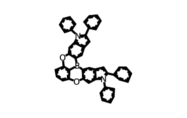 c1ccc(-c2cc3cc4c(cc3n2-c2ccccc2)Oc2cccc3c2B4c2cc4cc(-c5ccccc5)n(-c5ccccc5)c4cc2O3)cc1